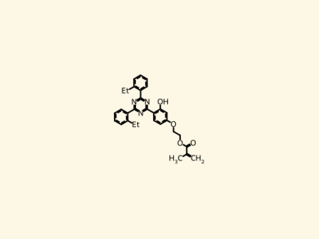 C=C(C)C(=O)OCCOc1ccc(-c2nc(-c3ccccc3CC)nc(-c3ccccc3CC)n2)c(O)c1